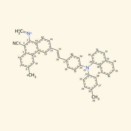 C=Nc1c(C#N)c2ccc(C)cc2c2cc(C=Cc3ccc(N(c4ccc(C)cc4)c4cccc5ccccc45)cc3)ccc12